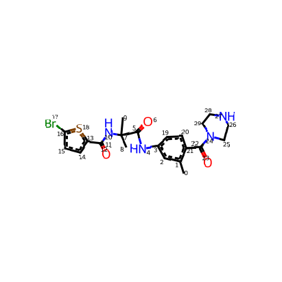 Cc1cc(NC(=O)C(C)(C)NC(=O)c2ccc(Br)s2)ccc1C(=O)N1CCNCC1